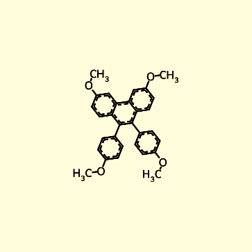 COc1ccc(-c2c(-c3ccc(OC)cc3)c3ccc(OC)cc3c3cc(OC)ccc23)cc1